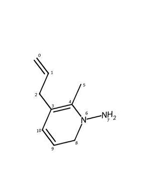 C=CCC1=C(C)N(N)CC=C1